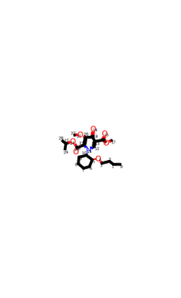 CCCCO[C@H]1CCCC[C@@H]1n1cc(C(=O)OC)c(=O)c(OC)c1C(=O)OC(C)C